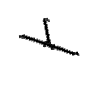 CCCCCCCCC=CCCCCCCCC(=O)NCC(COC(=O)CCCCCCCC=CCCCCCCCC)OC(=O)CCCCCCCC=CCCCCCCCC